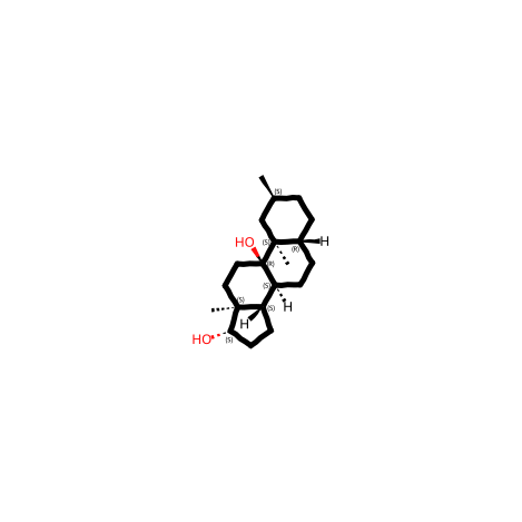 C[C@H]1CC[C@@H]2CC[C@H]3[C@@H]4CC[C@H](O)[C@@]4(C)CC[C@]3(O)[C@@]2(C)C1